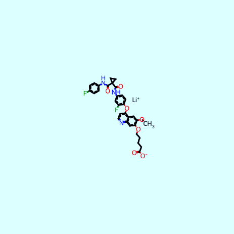 COc1cc2c(Oc3ccc(NC(=O)C4(C(=O)Nc5ccc(F)cc5)CC4)cc3F)ccnc2cc1OCCCCC(=O)[O-].[Li+]